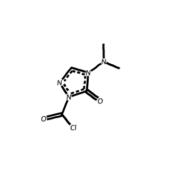 CN(C)n1cnn(C(=O)Cl)c1=O